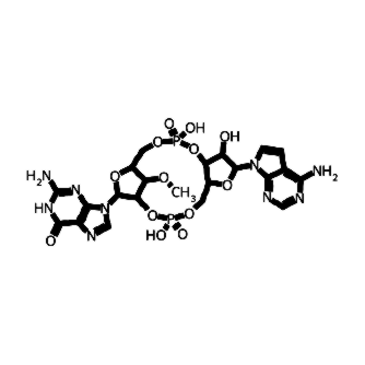 COC1C2COP(=O)(O)OC3C(COP(=O)(O)OC1C(n1cnc4c(=O)[nH]c(N)nc41)O2)OC(n1ccc2c(N)ncnc21)C3O